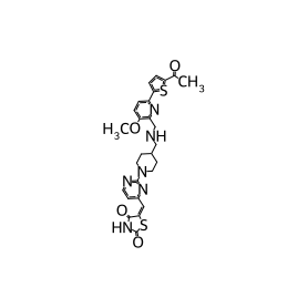 COc1ccc(-c2ccc(C(C)=O)s2)nc1CNCC1CCN(c2nccc(C=C3SC(=O)NC3=O)n2)CC1